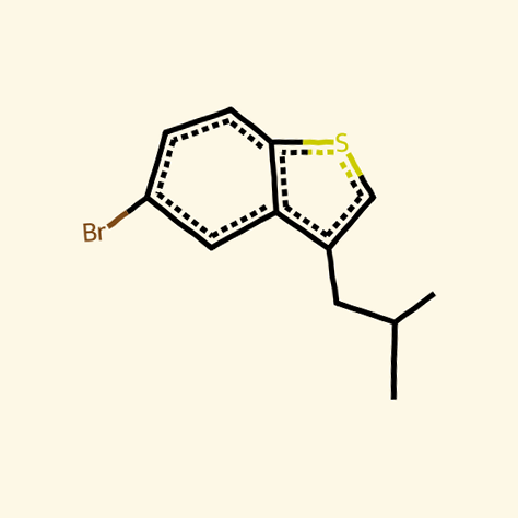 CC(C)Cc1csc2ccc(Br)cc12